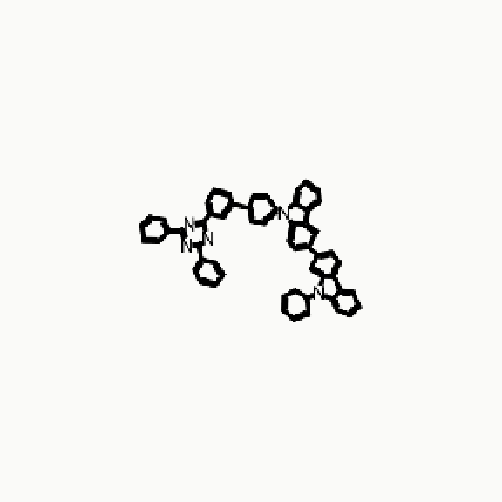 C1=CCC(n2c3ccccc3c3ccc(-c4ccc5c(c4)c4ccccc4n5-c4ccc(-c5cccc(-c6nc(-c7ccccc7)nc(-c7ccccc7)n6)c5)cc4)cc32)C=C1